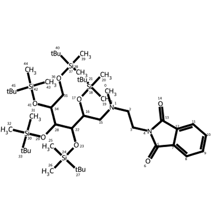 CN(CCN1C(=O)c2ccccc2C1=O)CC(O[Si](C)(C)C(C)(C)C)C(O[Si](C)(C)C(C)(C)C)C(O[Si](C)(C)C(C)(C)C)C(CO[Si](C)(C)C(C)(C)C)O[Si](C)(C)C(C)(C)C